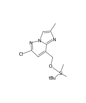 Cc1cn2nc(Cl)cc(CO[Si](C)(C)C(C)(C)C)c2n1